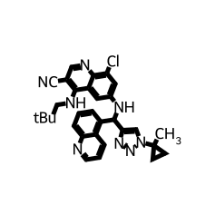 CC(C)(C)CNc1c(C#N)cnc2c(Cl)cc(NC(c3cn(C4(C)CC4)nn3)c3cccc4ncccc34)cc12